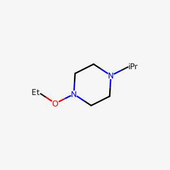 CCON1CCN(C(C)C)CC1